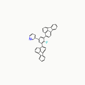 Fc1c(-c2ccc3c4c(cccc24)-c2ccccc2-3)cc(-c2cccnc2)cc1-c1ccc2c3c(cccc13)-c1ccccc1-2